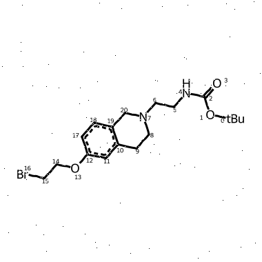 CC(C)(C)OC(=O)NCCN1CCc2cc(OCCBr)ccc2C1